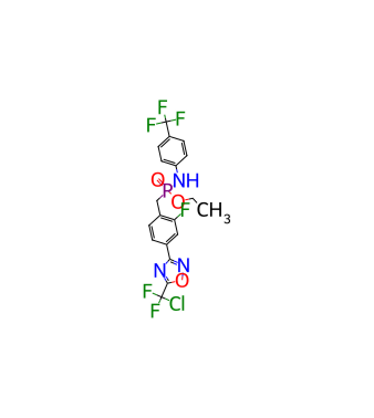 CCOP(=O)(Cc1ccc(-c2noc(C(F)(F)Cl)n2)cc1F)Nc1ccc(C(F)(F)F)cc1